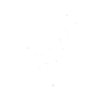 CCCOCC(N)(COCCC)COCCOCCC=O